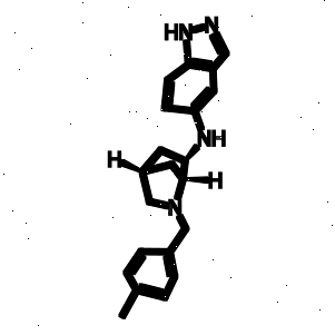 Cc1ccc(CN2C[C@H]3C[C@@H]2[C@H](Nc2ccc4[nH]ncc4c2)C3)cc1